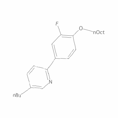 CCCCCCCCOc1ccc(-c2ccc(CCCC)cn2)cc1F